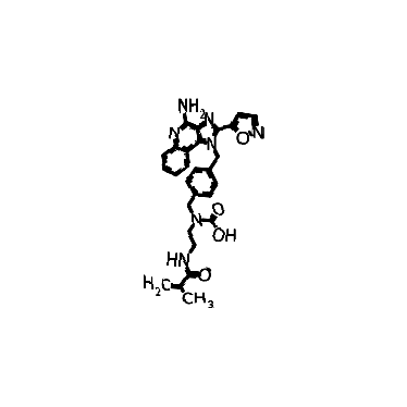 C=C(C)C(=O)NCCN(Cc1ccc(Cn2c(-c3ccno3)nc3c(N)nc4ccccc4c32)cc1)C(=O)O